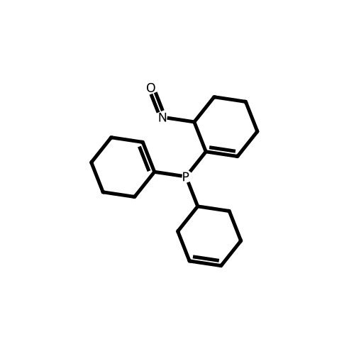 O=NC1CCCC=C1P(C1=CCCCC1)C1CC=CCC1